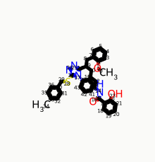 COc1ccccc1CC(CCCCNC(=O)c1ccccc1O)c1nnc(SCc2ccc(C)cc2)n1-c1ccccc1